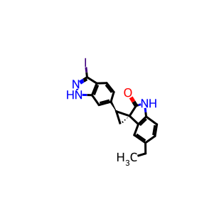 CCc1ccc2c(c1)[C@]1(C[C@H]1c1ccc3c(I)n[nH]c3c1)C(=O)N2